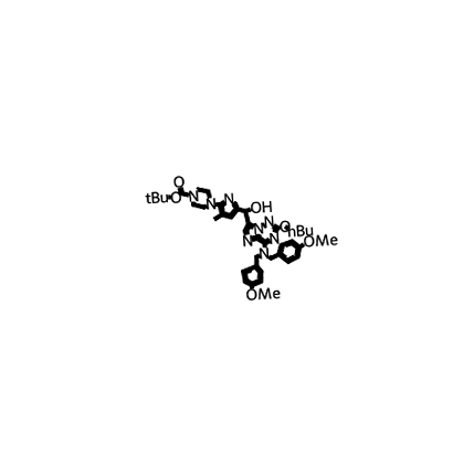 CCCCOc1nc(N(Cc2ccc(OC)cc2)Cc2ccc(OC)cc2)c2ncc(C(O)c3cnc(N4CCN(C(=O)OC(C)(C)C)CC4)c(C)c3)n2n1